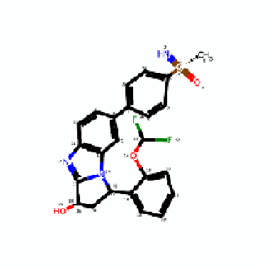 C[S@](=N)(=O)c1ccc(-c2ccc3nc4n(c3c2)[C@@H](c2ccccc2OC(F)F)C[C@H]4O)cc1